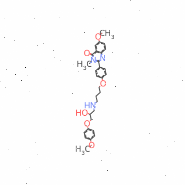 COc1ccc(OCC(O)CNCCCCOc2ccc(-c3nc4ccc(OC)cc4c(=O)n3C)cc2)cc1